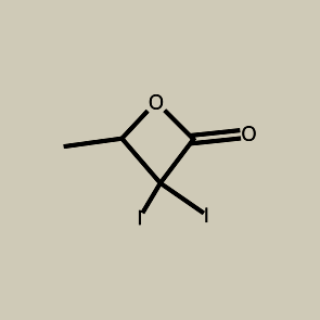 CC1OC(=O)C1(I)I